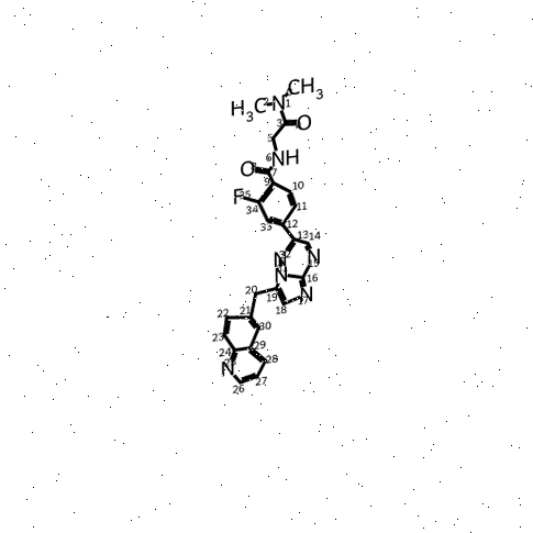 CN(C)C(=O)CNC(=O)c1ccc(-c2cnc3ncc(Cc4ccc5ncccc5c4)n3n2)cc1F